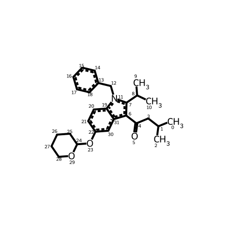 CC(C)CC(=O)c1c(C(C)C)n(Cc2ccccc2)c2ccc(OC3CCCCO3)cc12